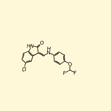 O=C1Nc2ccc(Cl)cc2/C1=C/Nc1ccc(OC(F)F)cc1